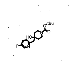 CC(C)(C)OC(=O)N1CCC(O)(Cc2ccc(F)cn2)CC1